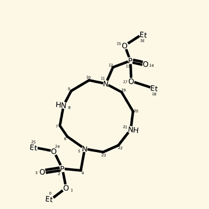 CCOP(=O)(CN1CCNCCN(CP(=O)(OCC)OCC)CCNCC1)OCC